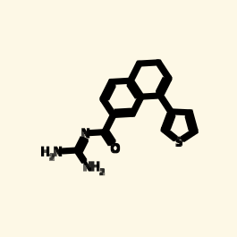 NC(N)=NC(=O)c1ccc2c(c1)C(c1ccsc1)=CCC2